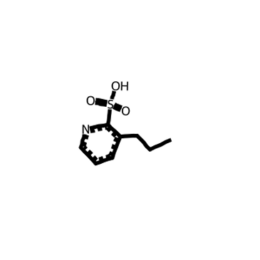 CCCc1cccnc1S(=O)(=O)O